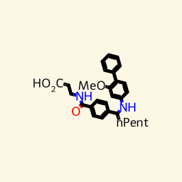 CCCCCC(Nc1ccc(-c2ccccc2)c(OC)c1)c1ccc(C(=O)NCCC(=O)O)cc1